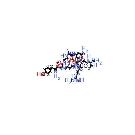 C[C@H](NC(=O)CNC(=O)[C@H](CCCCN)NC(=O)[C@@H](N)Cc1ccc(O)cc1)C(=O)N[C@@H](CC(N)=O)C(=O)N[C@@H](CCCNC(=N)N)C(=O)N[C@@H](CCCNC(=N)N)C(=O)O